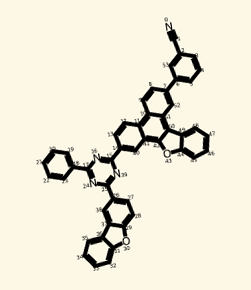 N#Cc1cccc(-c2ccc3c4ccc(-c5nc(-c6ccccc6)nc(-c6ccc7oc8ccccc8c7c6)n5)cc4c4oc5ccccc5c4c3c2)c1